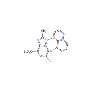 CCOC(=O)c1cc(Br)cc2c1nc(C)n2-c1ccnc2cccc(Cl)c12